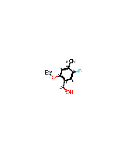 CCOc1cc(C#N)c(F)cc1CO